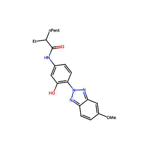 CCCCCC(CC)C(=O)Nc1ccc(-n2nc3ccc(OC)cc3n2)c(O)c1